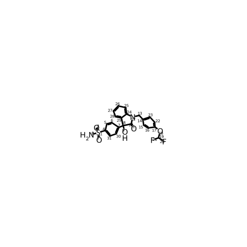 NS(=O)(=O)c1ccc(C2(O)C(=O)N(Cc3ccc(OC(F)F)cc3)c3ccccc32)cc1